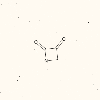 O=C1C[N]C1=O